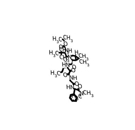 CCC[C@H](NC(=O)[C@@H]1C2[C@H](CN1C(=O)[C@@H](NC(=O)OC(C)C)C(C)(C)C)C2(C)C)C(=O)C(=O)NCC(=O)N[C@H](C(=O)N(C)C)c1ccccc1